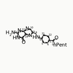 CCCCCC(=O)c1ccc(NCc2cnc3nc(N)[nH]c(=O)c3n2)cc1